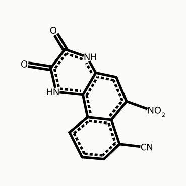 N#Cc1cccc2c1c([N+](=O)[O-])cc1[nH]c(=O)c(=O)[nH]c12